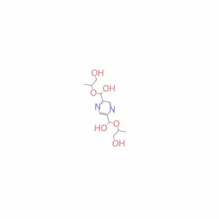 CC(CO)OC(O)c1cnc(C(O)OC(C)CO)cn1